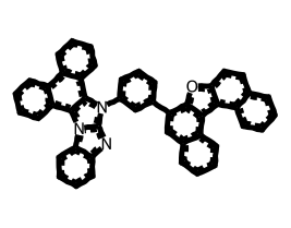 c1cc(-c2cc3ccccc3c3c2oc2ccc4ccccc4c23)cc(-n2c3c4ccccc4c4ccccc4c3n3c4ccccc4nc23)c1